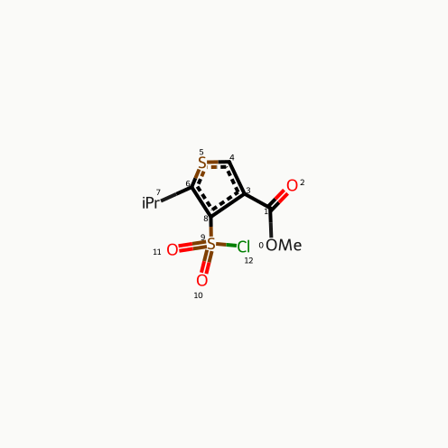 COC(=O)c1csc(C(C)C)c1S(=O)(=O)Cl